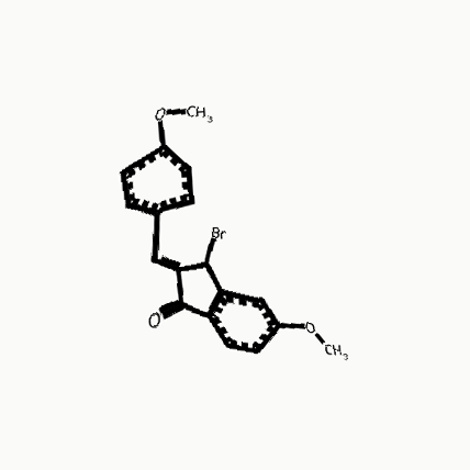 COc1ccc(/C=C2/C(=O)c3ccc(OC)cc3C2Br)cc1